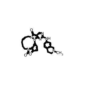 CN1CCc2ccc(Nc3ncc4c(=O)n5n(c4n3)-c3ccc4oc(=O)n(c4c3)CCC/C=C\C5)cc2C1